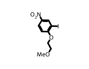 COCCOc1ccc([N+](=O)[O-])cc1I